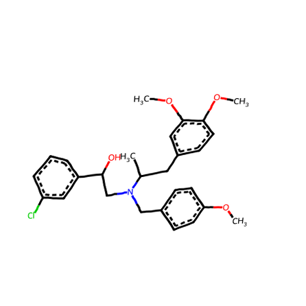 COc1ccc(CN(CC(O)c2cccc(Cl)c2)C(C)Cc2ccc(OC)c(OC)c2)cc1